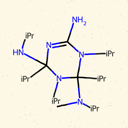 CC(C)NC1(C(C)C)N=C(N)N(C(C)C)C(C(C)C)(N(C)C(C)C)N1C(C)C